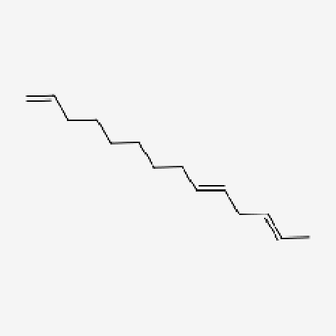 C=CCCCCCCC=CCC=CC